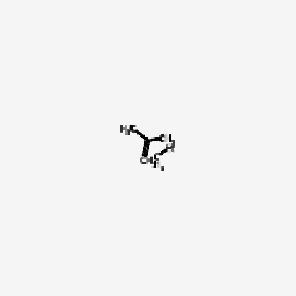 C=C(C)C.CCC